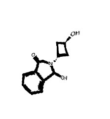 O=C1c2ccccc2C(O)N1[C@H]1C[C@H](O)C1